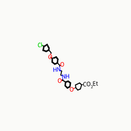 CCOC(=O)[C@H]1CC[C@@H](Oc2ccc(C(=O)NCCNC(=O)c3ccc(OCc4ccc(Cl)cc4)cc3)cc2)CC1